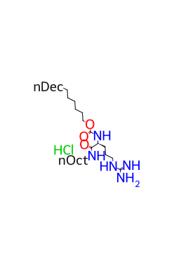 CCCCCCCCCCCCCCCCOC(=O)N[C@@H](CCCNC(=N)N)C(=O)NCCCCCCCC.Cl